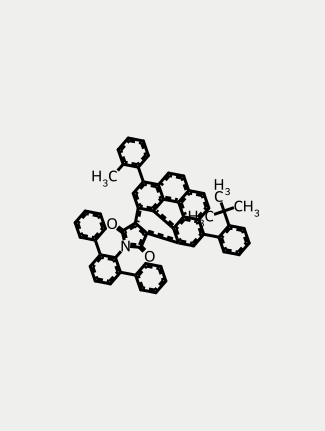 Cc1ccccc1-c1cc2c3c(=O)n(-c4c(-c5ccccc5)cccc4-c4ccccc4)c(=O)c3c3cc(-c4ccccc4C(C)(C)C)c4ccc5ccc1c1c5c4c3c21